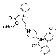 CCCCCCOC(=O)CC(C)(CCCN1CCC(NC(=O)c2ccccc2-c2ccc(C(F)(F)F)cc2)CC1)c1ccccc1